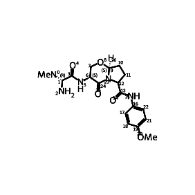 CN[C@@H](N)C(=O)N[C@H]1CO[C@H]2CCC(C(=O)Nc3ccc(OC)cc3)N2C1=O